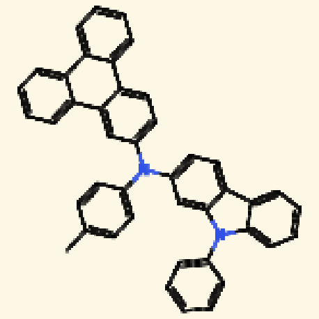 Cc1ccc(N(c2ccc3c4ccccc4c4ccccc4c3c2)c2ccc3c4ccccc4n(-c4ccccc4)c3c2)cc1